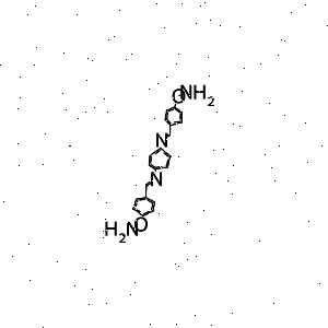 NOc1ccc(/C=N/c2ccc(/N=C/c3ccc(ON)cc3)cc2)cc1